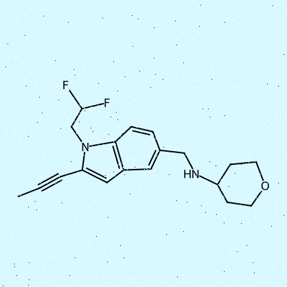 CC#Cc1cc2cc(CNC3CCOCC3)ccc2n1CC(F)F